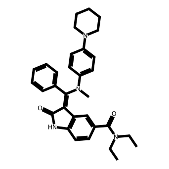 CCN(CC)C(=O)c1ccc2c(c1)C(=C(c1ccccc1)N(C)c1ccc(N3CCCCC3)cc1)C(=O)N2